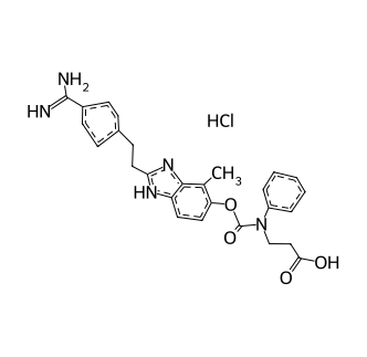 Cc1c(OC(=O)N(CCC(=O)O)c2ccccc2)ccc2[nH]c(CCc3ccc(C(=N)N)cc3)nc12.Cl